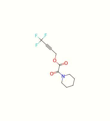 O=C(OCC#CC(F)(F)F)C(=O)N1CCCCC1